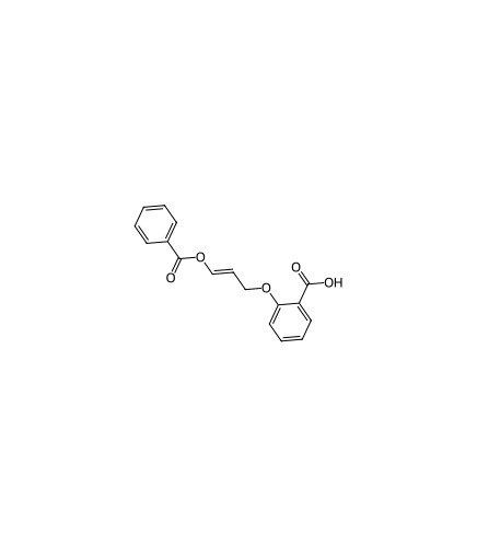 O=C(OC=CCOc1ccccc1C(=O)O)c1ccccc1